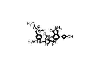 CCOP(=O)(Cc1ccc(Nc2ncc(C(F)(F)F)c(Nc3ccc([C@H]4C[C@@H](O)C4)c4c3C(=O)N(C)C4)n2)c(OC)c1)OCC